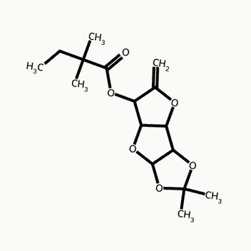 C=C1OC2C3OC(C)(C)OC3OC2C1OC(=O)C(C)(C)CC